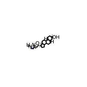 C=N/C=C\N(N)CC(=O)[C@H]1CCC2C3CC[C@H]4C[C@](C)(O)CC[C@@H]4C3CC[C@@]21C